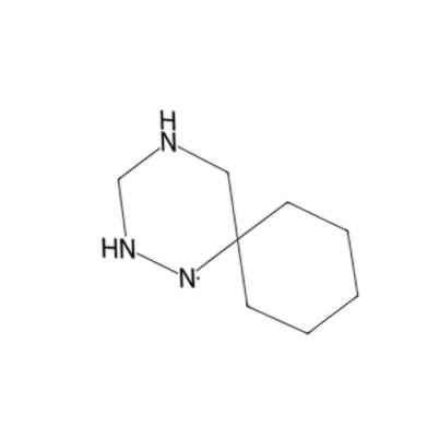 C1CCC2(CC1)CNCN[N]2